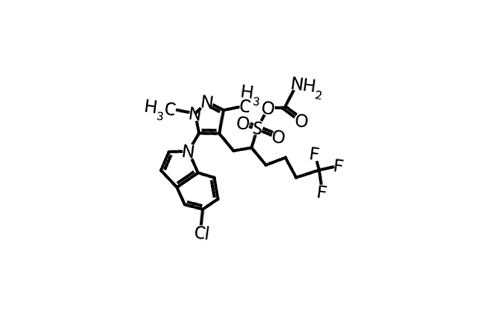 Cc1nn(C)c(-n2ccc3cc(Cl)ccc32)c1CC(CCCC(F)(F)F)S(=O)(=O)OC(N)=O